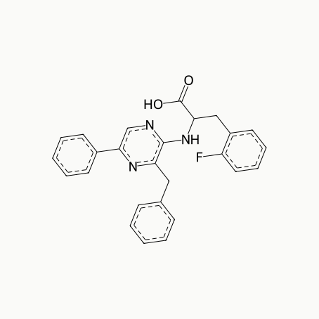 O=C(O)C(Cc1ccccc1F)Nc1ncc(-c2ccccc2)nc1Cc1ccccc1